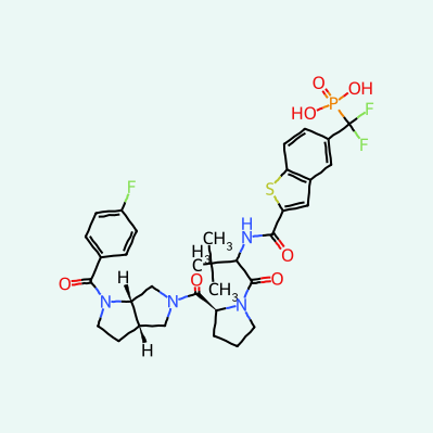 CC(C)(C)C(NC(=O)c1cc2cc(C(F)(F)P(=O)(O)O)ccc2s1)C(=O)N1CCC[C@H]1C(=O)N1C[C@@H]2CCN(C(=O)c3ccc(F)cc3)[C@@H]2C1